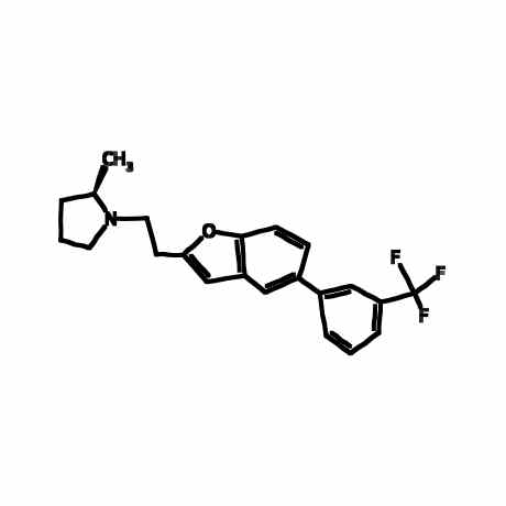 C[C@@H]1CCCN1CCc1cc2cc(-c3cccc(C(F)(F)F)c3)ccc2o1